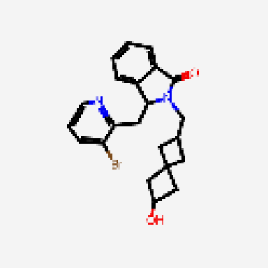 O=C1c2ccccc2C(Cc2ncccc2Br)N1CC1CC2(CC(O)C2)C1